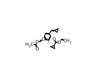 C(=C1CC1)c1ccccc1.C=COC(=O)C1CC1.C=COC(C)=O